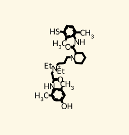 CC[N+](CC)(CCCN1CCCCC1C(=O)Nc1c(C)ccc(S)c1C)CC(=O)Nc1c(C)cc(O)cc1C